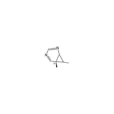 CC1C2N=CN=C[C@@]12C